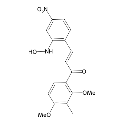 COc1ccc(C(=O)/C=C/c2ccc([N+](=O)[O-])cc2NO)c(OC)c1C